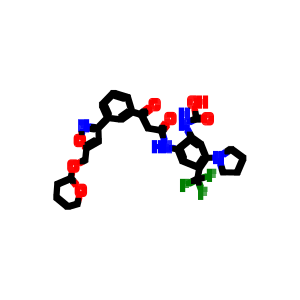 O=C(O)Nc1cc(N2CCCC2)c(C(F)(F)F)cc1NC(=O)CC(=O)c1cccc(-c2cc(COC3CCCCO3)on2)c1